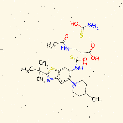 CC(=O)NCCC(=O)O.CC1CCN(c2cc3nc(C(C)(C)C)sc3cc2NC(O)=S)CC1.NC(O)=S